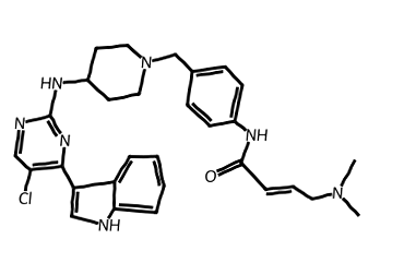 CN(C)C/C=C/C(=O)Nc1ccc(CN2CCC(Nc3ncc(Cl)c(-c4c[nH]c5ccccc45)n3)CC2)cc1